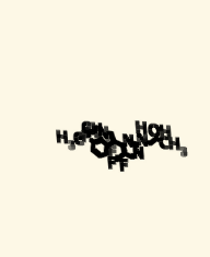 CC(O)CNc1ncc(C(F)(F)F)c(-c2c[nH]c3c(P(C)C)cccc23)n1